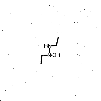 CCNN(O)CC